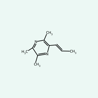 C/C=C/c1nc(C)c(C)nc1C